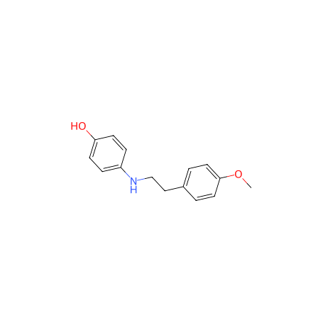 COc1ccc(CCNc2ccc(O)cc2)cc1